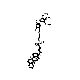 C[C@H](CCC(=O)NCCOCc1cc([C@@H]2O[C@H](CO)C(O)[C@@H]2O)c(F)cc1F)[C@@]1(C)CC[C@H]2[C@@H]3CC=C4CCCC[C@]4(C)[C@H]3CC[C@@]21C